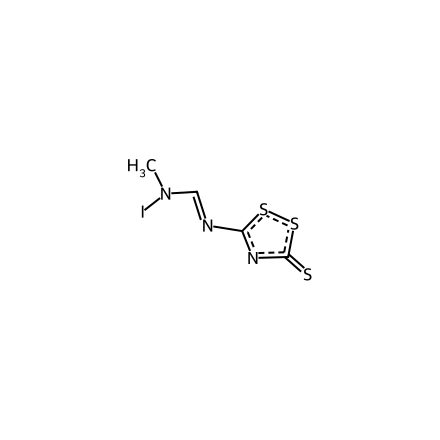 CN(I)/C=N/c1nc(=S)ss1